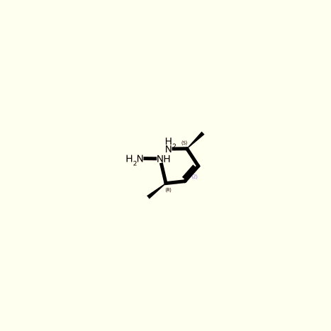 C[C@H](N)/C=C\[C@@H](C)NN